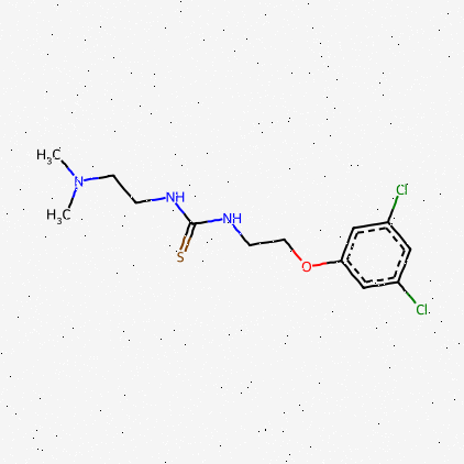 CN(C)CCNC(=S)NCCOc1cc(Cl)cc(Cl)c1